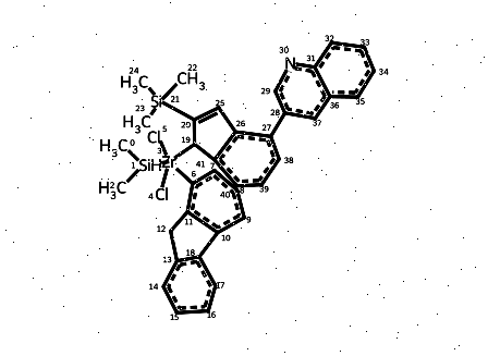 C[SiH](C)[Zr]([Cl])([Cl])([c]1cccc2c1Cc1ccccc1-2)[CH]1C([Si](C)(C)C)=Cc2c(-c3cnc4ccccc4c3)cccc21